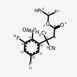 CCCC(F)OC(=O)CC(C)(C#N)c1cc(F)cc(F)c1OC